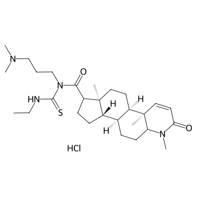 CCNC(=S)N(CCCN(C)C)C(=O)C1CC[C@H]2[C@@H]3CCC4N(C)C(=O)C=C[C@]4(C)[C@@H]3CC[C@]12C.Cl